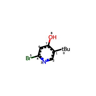 CC(C)(C)c1cnc(Br)cc1O